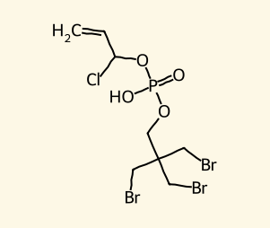 C=CC(Cl)OP(=O)(O)OCC(CBr)(CBr)CBr